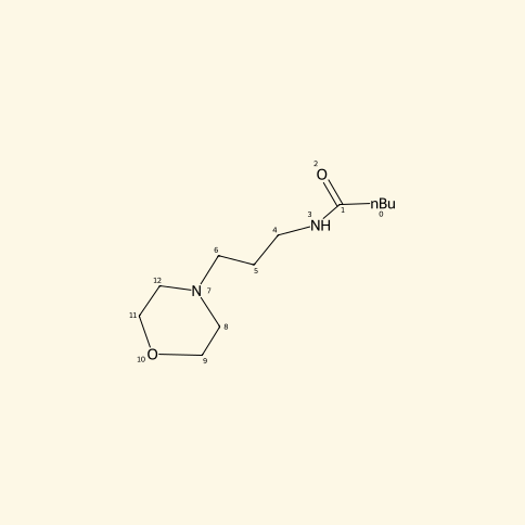 CCCCC(=O)NCCCN1CCOCC1